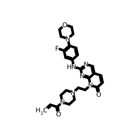 C=CC(=O)N1CCN(CCn2c(=O)ccc3cnc(Nc4ccc(N5CCOCC5)c(F)c4)nc32)CC1